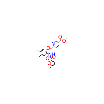 COC(=O)c1ccc(COc2cc(C)c(C)cc2NS(=O)(=O)c2ccc(C)o2)nc1